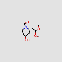 COC(C)OC.O=CN1CCC(O)CC1